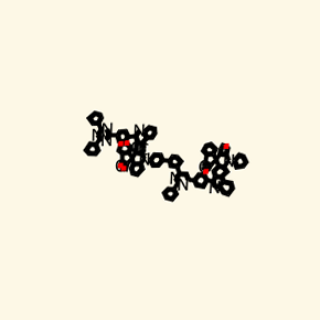 c1ccc(-c2nc(-c3ccc(-c4nc5ccccc5c5cc6c(cc45)C4(c5ccccc5-c5ccccc54)c4ccccc4N6c4ccccc4)cc3)cc(-c3cccc(-c4ccc(N5c6ccccc6C6(c7ccccc7-c7ccccc76)c6cc7c(-c8ccc(-c9nc(-c%10ccccc%10)nc(-c%10ccccc%10)n9)cc8)nc8ccccc8c7cc65)cc4)c3)n2)cc1